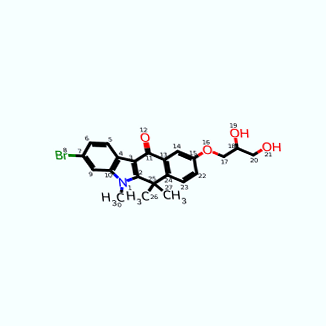 Cn1c2c(c3ccc(Br)cc31)C(=O)c1cc(OCC(O)CO)ccc1C2(C)C